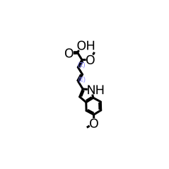 CO/C(=C\C=C\c1cc2cc(OC)ccc2[nH]1)C(=O)O